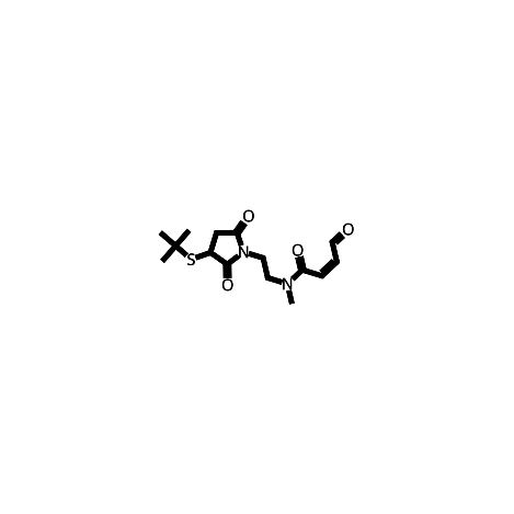 CN(CCN1C(=O)CC(SC(C)(C)C)C1=O)C(=O)/C=C\C=O